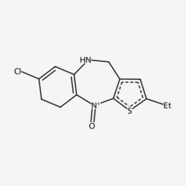 CCc1cc2c(s1)[N+](=O)C1=C(C=C(Cl)CC1)NC2